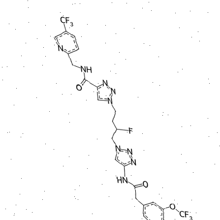 O=C(Cc1cccc(OC(F)(F)F)c1)Nc1cn(CC(F)CCn2cc(C(=O)NCc3ccc(C(F)(F)F)cn3)nn2)nn1